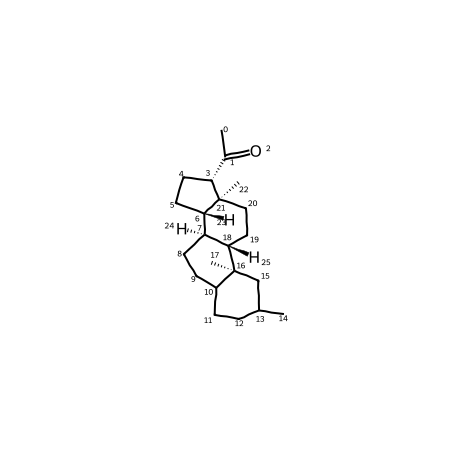 CC(=O)[C@H]1CC[C@H]2[C@@H]3CCC4CCC(C)C[C@]4(C)[C@H]3CC[C@]12C